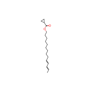 CC=CC=CCCCCCCCCCOC(=O)C1CC1